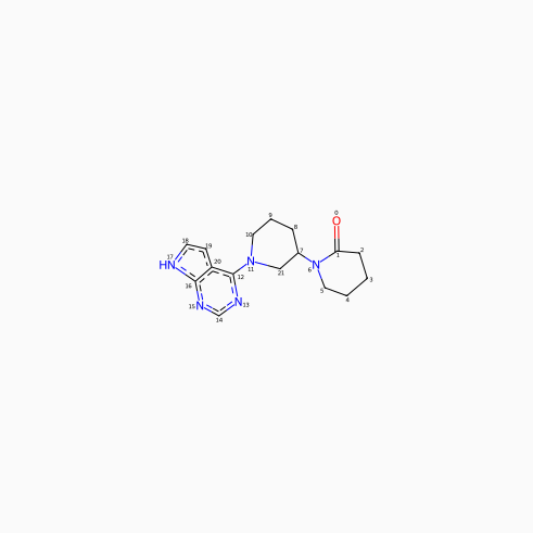 O=C1CCCCN1C1CCCN(c2ncnc3[nH]ccc23)C1